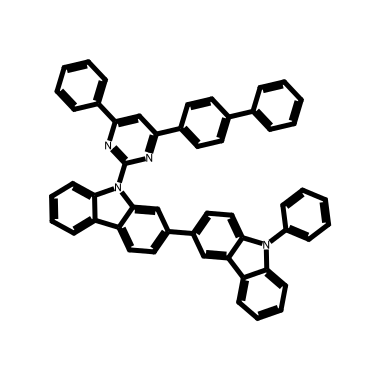 c1ccc(-c2ccc(-c3cc(-c4ccccc4)nc(-n4c5ccccc5c5ccc(-c6ccc7c(c6)c6ccccc6n7-c6ccccc6)cc54)n3)cc2)cc1